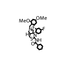 COc1ccc(CN2C[C@H]3CSC(NC(=O)c4ccccc4)=N[C@@]3(c3ccc(F)cc3F)C2)c(OC)c1